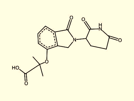 CC(C)(Oc1cccc2c1CN(C1CCC(=O)NC1=O)C2=O)C(=O)O